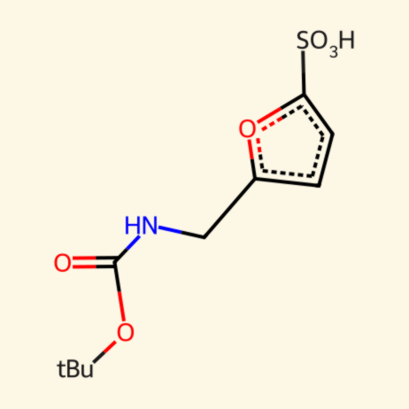 CC(C)(C)OC(=O)NCc1ccc(S(=O)(=O)O)o1